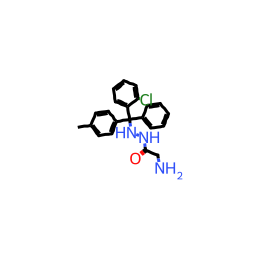 Cc1ccc(C(NNC(=O)CN)(c2ccccc2)c2ccccc2Cl)cc1